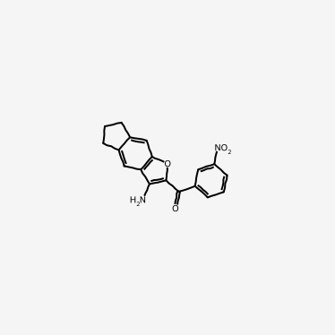 Nc1c(C(=O)c2cccc([N+](=O)[O-])c2)oc2cc3c(cc12)CCC3